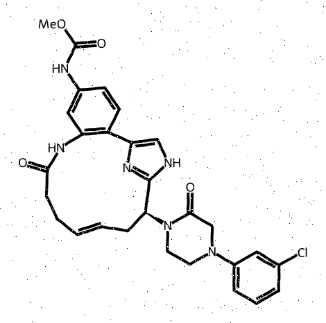 COC(=O)Nc1ccc2c(c1)NC(=O)CC/C=C/C[C@H](N1CCN(c3cccc(Cl)c3)CC1=O)c1nc-2c[nH]1